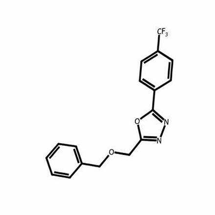 FC(F)(F)c1ccc(-c2nnc(COCc3ccccc3)o2)cc1